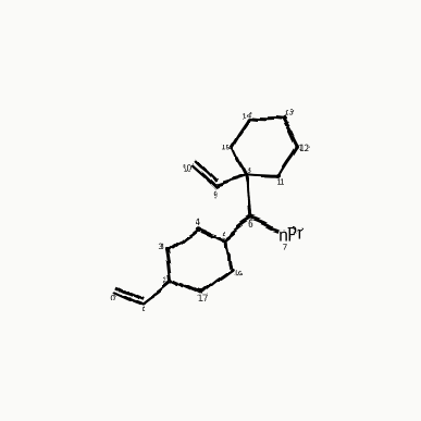 C=CC1CCC(C(CCC)C2(C=C)CCCCC2)CC1